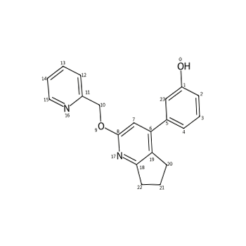 Oc1cccc(-c2cc(OCc3ccccn3)nc3c2CCC3)c1